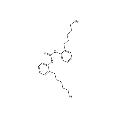 CC(C)CCCCCc1ccccc1OC(=O)Oc1ccccc1CCCCCC(C)C